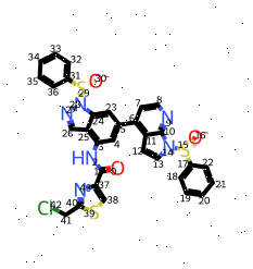 O=C(Nc1cc(-c2ccnc3c2ccn3[S+]([O-])c2ccccc2)cc2c1cnn2[S+]([O-])c1ccccc1)c1csc(CCl)n1